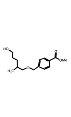 COC(=O)c1ccc(COCC(C)CCCO)cc1